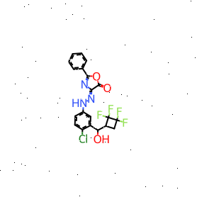 O=C1OC(c2ccccc2)=NC1=NNc1ccc(Cl)c(C(O)C2CC(F)(F)C2(F)F)c1